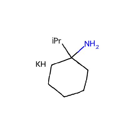 CC(C)C1(N)CCCCC1.[KH]